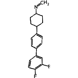 C=NC1CCC(c2ccc(-c3ccc(F)c(F)c3)cc2)CC1